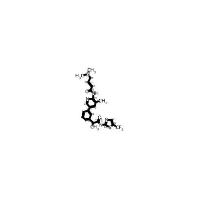 Cc1cc(-c2cccc(C(C)C(=O)Nc3ncc(C(F)(F)F)s3)c2)cnc1NC(=O)/C=C/CN(C)C